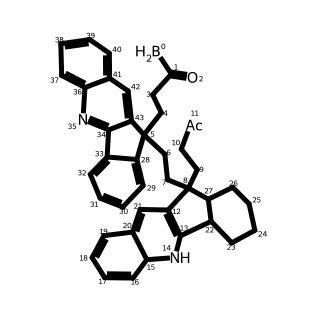 BC(=O)CCC1(CCC2(CCC(C)=O)C3=C(NC4C=CC=CC4=C3)C3CCCCC32)c2ccccc2-c2nc3ccccc3cc21